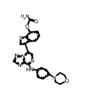 NC(=O)Oc1cccc2c(-c3cnc(Nc4ccc(N5CCOCC5)cc4)c4ncnn34)csc12